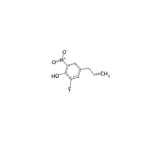 C=CCc1cc(F)c(O)c([N+](=O)[O-])c1